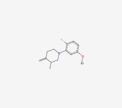 C=C1CCN(c2cc(OCC)ccc2F)CC1C